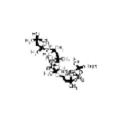 CCCCCCCC(C)(CCCCCCC)OP(=O)(OC)OC(C)(C)CCOC(C)(C)P(=O)(OC)OC(C)(C)CC(C)(C)SSC(C)(C)CC(C)(C)O